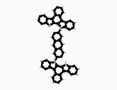 c1ccc2c(c1)sc1c2c2ccccc2c2c3ccccc3n(-c3ccc4cc5cc(-n6c7ccccc7c7c8ccccc8c8c9ccccc9sc8c76)ccc5cc4c3)c12